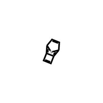 C1=Cc2c1c1ccc2s1